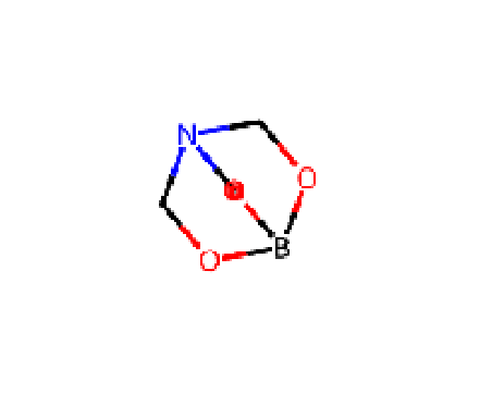 C1OB2OCN1CO2